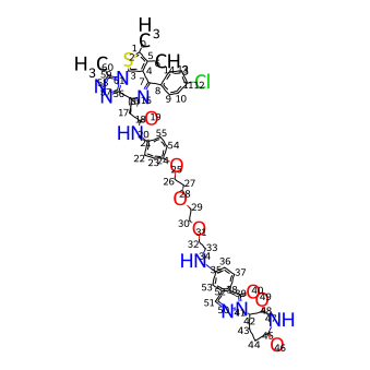 Cc1sc2c(c1C)C(c1ccc(Cl)cc1)=N[C@@H](CC(=O)Nc1ccc(OCCOCCOCCNc3ccc4c(=O)n(C5CCC(=O)NC5=O)ncc4c3)cc1)c1nnc(C)n1-2